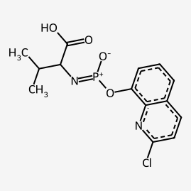 CC(C)C(/N=[P+](\[O-])Oc1cccc2ccc(Cl)nc12)C(=O)O